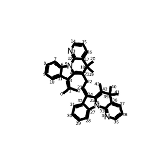 CC(C)=c1c2n(c3ccccc13)-c1ncccc1C(C)(C)C=2C/C=c1\c2n(c3ccccc13)-c1ncccc1C(C)(C)C=2C